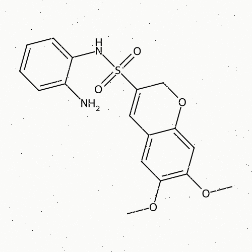 COc1cc2c(cc1OC)OCC(S(=O)(=O)Nc1ccccc1N)=C2